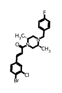 C[C@@H]1CN(Cc2ccc(F)cc2)[C@@H](C)CN1C(=O)/C=C/c1ccc(Br)c(Cl)c1